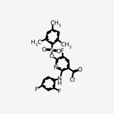 Cc1cc(C)c(S(=O)(=O)Oc2nc(Nc3ccc(F)cc3F)c(C(=O)Cl)cc2F)c(C)c1